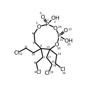 O=P1(O)OCCC(CCCl)(CCCl)C(CCCl)(CCCl)OP(=O)(O)O1